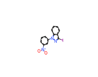 O=[N+]([O-])c1cccc(-n2nc(I)c3ccccc32)c1